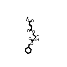 COC(=O)/C=C/C(=O)OC[C@@H](C)NC(=O)OCC1CCCCC1